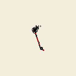 C#Cc1ccc(CCCCCCCCCCCCCCCCCCOP(=O)([O-])OCC[N+](C)(C)C)cc1